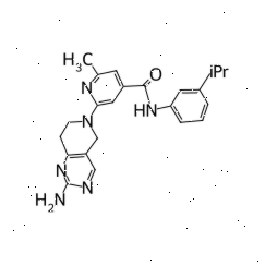 Cc1cc(C(=O)Nc2cccc(C(C)C)c2)cc(N2CCc3nc(N)ncc3C2)n1